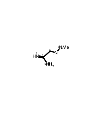 CN[N]CC(=N)N